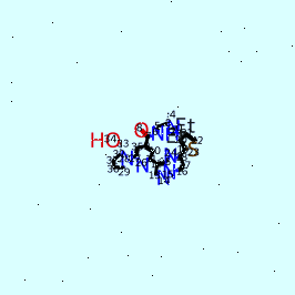 CCN(CC)[C@@H](C)CNC(=O)c1cc(-c2cnn3ccc(-c4cccs4)nc23)nc(N2CCC[C@@H]2CO)c1